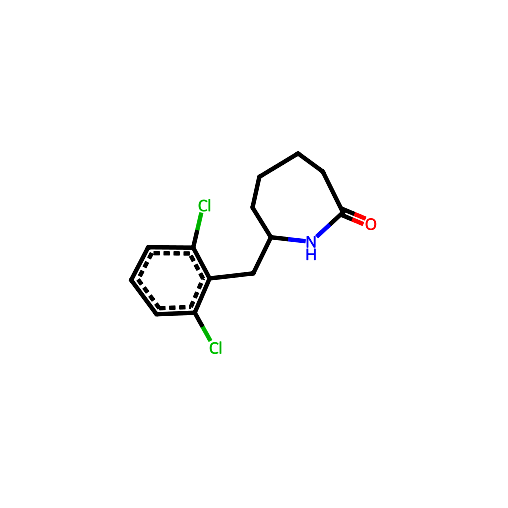 O=C1CCCCC(Cc2c(Cl)cccc2Cl)N1